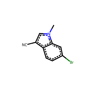 Cn1cc(C#N)c2ccc(Br)cc21